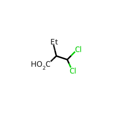 CCC(C(=O)O)C(Cl)Cl